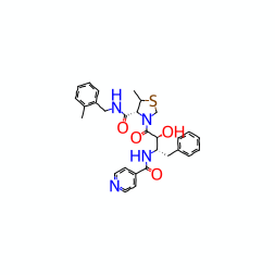 Cc1ccccc1CNC(=O)[C@@H]1C(C)SCN1C(=O)[C@@H](O)[C@H](Cc1ccccc1)NC(=O)c1ccncc1